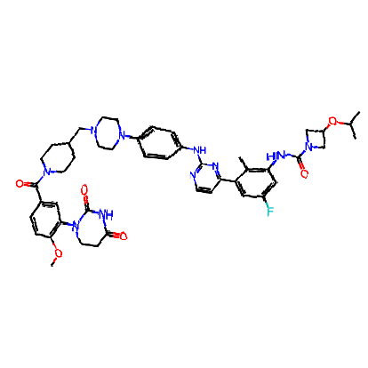 COc1ccc(C(=O)N2CCC(CN3CCN(c4ccc(Nc5nccc(-c6cc(F)cc(NC(=O)N7CC(OC(C)C)C7)c6C)n5)cc4)CC3)CC2)cc1N1CCC(=O)NC1=O